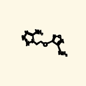 Nc1nonc1OCCn1nnnc1N